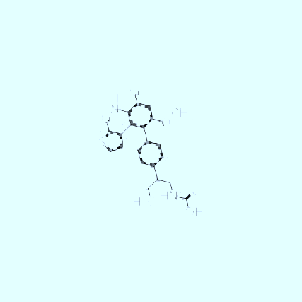 CCC(CNC(=O)O)c1ccc(-c2c(OC)cc(Cl)c3c2-c2ccsc2ON3)cc1